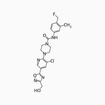 Cc1cc(NC(=O)N2CCN(c3ncc(-c4nc(CO)no4)cc3Cl)CC2)ccc1CF